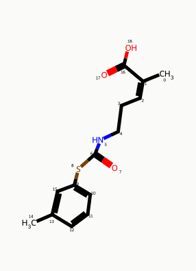 CC(=CCCNC(=O)Sc1cccc(C)c1)C(=O)O